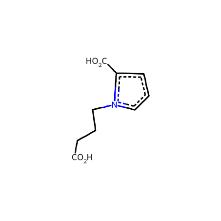 O=C(O)CCCn1cccc1C(=O)O